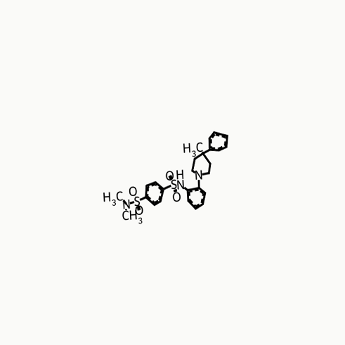 CN(C)S(=O)(=O)c1ccc(S(=O)(=O)Nc2ccccc2N2CCC(C)(c3ccccc3)CC2)cc1